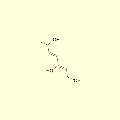 CC(O)C=CC(O)=CCO